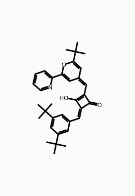 CC(C)(C)C1=CC(=CC2=C(O)C(=Cc3cc(C(C)(C)C)cc(C(C)(C)C)c3)C2=O)C=C(c2ccccn2)O1